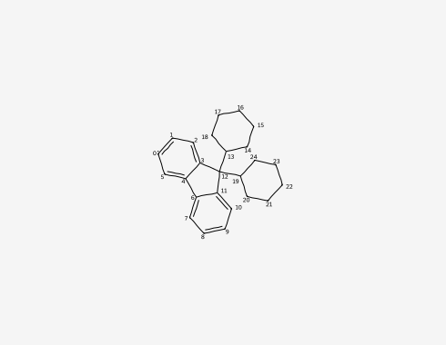 [c]1ccc2c(c1)-c1ccccc1C2(C1CCCCC1)C1CCCCC1